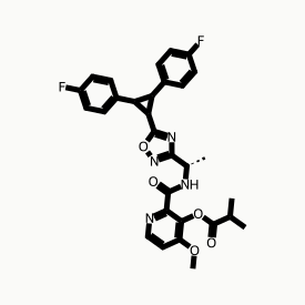 COc1ccnc(C(=O)N[C@@H](C)c2noc(C3C(c4ccc(F)cc4)C3c3ccc(F)cc3)n2)c1OC(=O)C(C)C